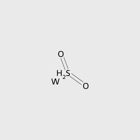 O=[SH2]=O.[W]